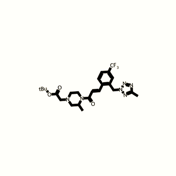 Cc1nnn(Cc2cc(C(F)(F)F)ccc2/C=C/C(=O)N2CCN(CC(=O)OC(C)(C)C)CC2C)n1